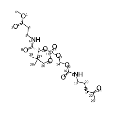 COC(=O)CCNC(=O)[C@@H]1OP(=O)(OCOC(=O)NCCSC(C)=O)OCC1(C)C